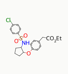 CCOC(=O)Cc1ccc(OC2CCCC2NS(=O)(=O)c2ccc(Cl)cc2)cc1